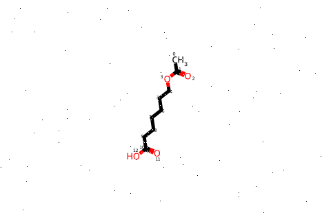 CC(=O)OCCCCCCC(=O)O